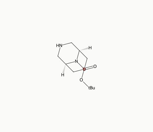 CC(C)(C)OC(=O)N1[C@@H]2CNC[C@H]1COC2